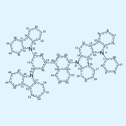 c1ccc(-n2c3ccccc3c3ccc4c(c5ccccc5n4-c4ccc(-c5cc(-n6c7ccccc7c7ccccc76)cc(-n6c7ccccc7c7ccccc76)c5)c5ccccc45)c32)cc1